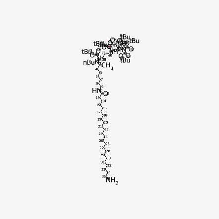 CCCCN(C(C)CCCCCCNC(=O)CCCCCCCCCCCCCCCCCCCCCCCN)N(CCCN(C[N+](CCCC)(C(=O)OC(C)(C)C)[N+](CCC)(C(=O)OC(C)(C)C)N(C(=O)OC(C)(C)C)C(=O)OC(C)(C)C)C(=O)OC(C)(C)C)C(=O)OC(C)(C)C